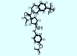 CC(C)Oc1ccc(CN[C@@H]2CC[C@@](C(=O)N3CCc4ccc(C(F)(F)F)cc4C3)(C(C)C)C2)cc1